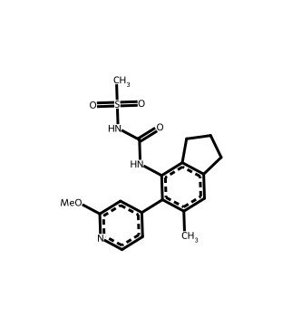 COc1cc(-c2c(C)cc3c(c2NC(=O)NS(C)(=O)=O)CCC3)ccn1